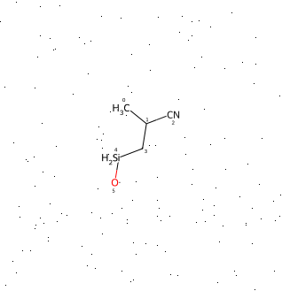 CC(C#N)C[SiH2][O]